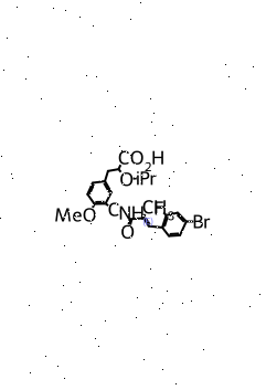 COc1ccc(CC(OC(C)C)C(=O)O)cc1CNC(=O)/C(C)=C/c1ccc(Br)cc1F